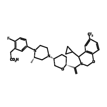 C=C([C@H]1CC[C@@H](N2CCN(c3ccc(F)c(CC(=O)O)c3)[C@@H](C)C2)CO1)N1COc2ccc(C(F)(F)F)cc2C1C1CC1